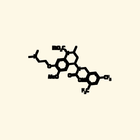 CCOC(=O)N1c2cc(OCCN(C)C)c(OC)cc2C(N(Cc2cc(C(F)(F)F)cc(C(F)(F)F)c2)C(=O)OC)CC1C